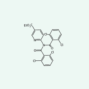 CCOC(=O)c1ccc(N(C(=O)c2c(Cl)cccc2Cl)C(=O)c2c(Cl)cccc2Cl)nc1